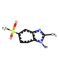 Cc1nc2cc(S(=O)(=O)C(F)(F)F)ccc2n1C(C)C